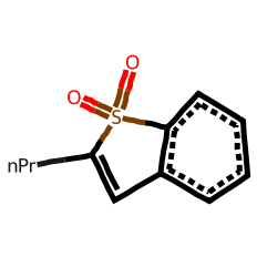 CCCC1=Cc2ccccc2S1(=O)=O